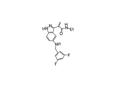 C=C(C(=O)NCC)c1n[nH]c2ccc(NCc3cc(F)cc(F)c3)cc12